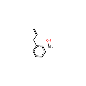 C=CCc1ccccc1.CCCCO